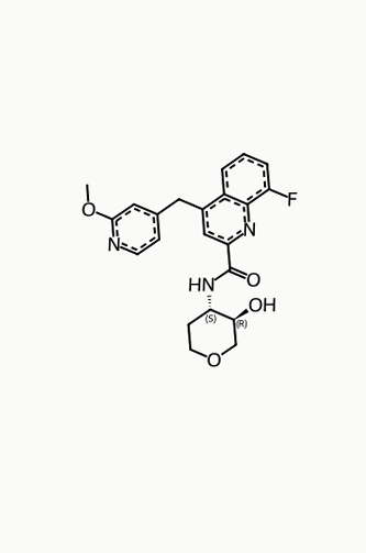 COc1cc(Cc2cc(C(=O)N[C@H]3CCOC[C@@H]3O)nc3c(F)cccc23)ccn1